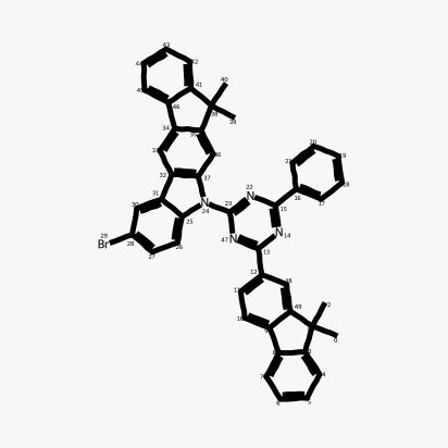 CC1(C)c2ccccc2-c2ccc(-c3nc(-c4ccccc4)nc(-n4c5ccc(Br)cc5c5cc6c(cc54)C(C)(C)c4ccccc4-6)n3)cc21